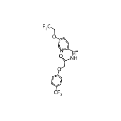 C[C@@H](NC(=O)COc1ccc(C(F)(F)F)cc1)c1ccc(OCC(F)(F)F)cn1